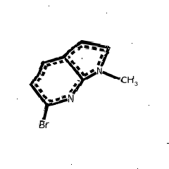 Cn1ccc2ccc(Br)nc21